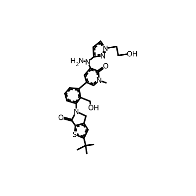 Cn1cc(-c2cccc(N3Cc4cc(C(C)(C)C)sc4C3=O)c2CO)cc(N(N)c2ccn(CCO)n2)c1=O